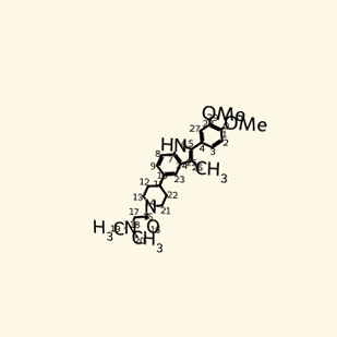 COc1ccc(-c2[nH]c3ccc(C4CCN(C(=O)CN(C)C)CC4)cc3c2C)cc1OC